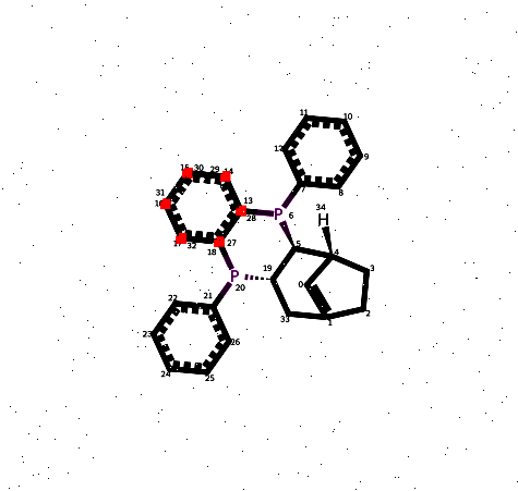 C1=C2CC[C@H]1[C@H](P(c1ccccc1)c1ccccc1)[C@@H](P(c1ccccc1)c1ccccc1)C2